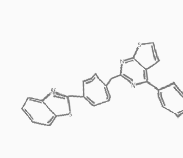 c1ccc(-c2nc(-c3ccc(-c4nc5ccccc5s4)cc3)nc3sccc23)cc1